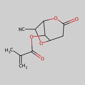 C=C(C)C(=O)OC1C2CC(=O)OC1C(C#N)O2